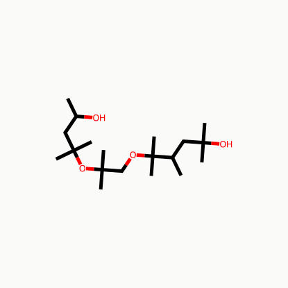 CC(O)CC(C)(C)OC(C)(C)COC(C)(C)C(C)CC(C)(C)O